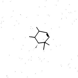 CC1C=CC(C)(C(F)(F)F)[C@@H](C)C1C